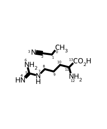 CCC#N.N=C(N)NCCCC(N)C(=O)O